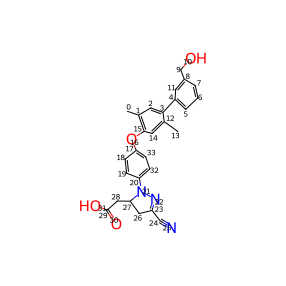 Cc1cc(-c2cccc(CO)c2)c(C)cc1Oc1ccc(N2N=C(C#N)CC2CC(=O)O)cc1